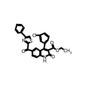 CCOC(=O)c1c(-c2cccc(Cl)c2)c2cc(C(=O)c3nc(-c4ccccc4)cs3)ccc2[nH]c1=O